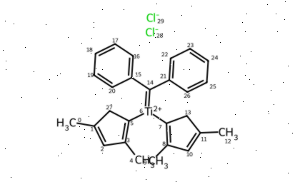 CC1=CC(C)=[C]([Ti+2]([C]2=C(C)C=C(C)C2)=[C](c2ccccc2)c2ccccc2)C1.[Cl-].[Cl-]